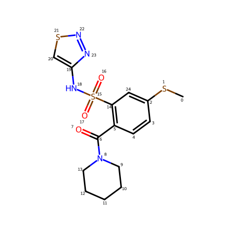 CSc1ccc(C(=O)N2CCCCC2)c(S(=O)(=O)Nc2csnn2)c1